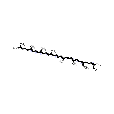 CC\C(=C/C=C/C(C)=C/C=C/C(C)=C/C=C/C=C(C)/C=C/C=C(C)/C=C/C=C(\C)CCC=C(C)C)CC/C=C(/C)C=O